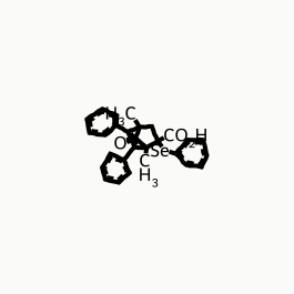 CC12CC([Se]c3ccccc3)(C(=O)O)C(C)(C1=O)C(c1ccccc1)=C2c1ccccc1